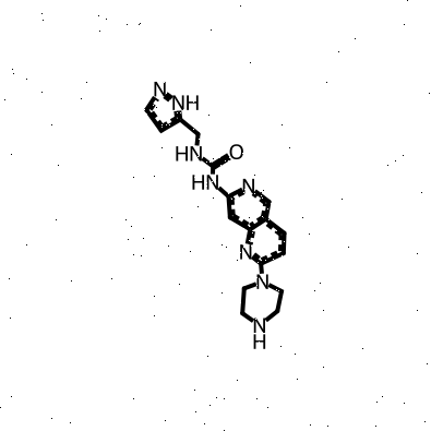 O=C(NCc1ccn[nH]1)Nc1cc2nc(N3CCNCC3)ccc2cn1